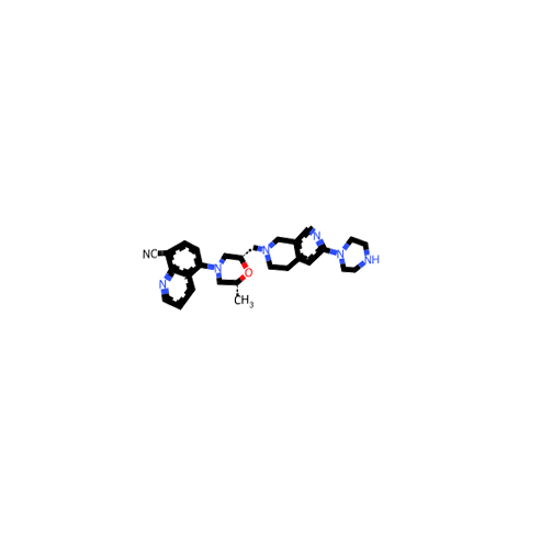 C[C@@H]1CN(c2ccc(C#N)c3ncccc23)C[C@H](CN2CCc3cc(N4CCNCC4)ncc3C2)O1